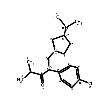 CC(C)C(=O)[C@@H](CN1CC[C@H](N(C)C)C1)c1ccc(Cl)cc1